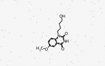 COc1ccc2c(c1)c(=O)[nH]c(=O)n2CCCCO